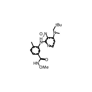 CONC(=O)c1ccc(C)c(Nc2nccc(N(C)CC(C)(C)C)c2[N+](=O)[O-])c1